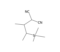 CC(C(C#N)C#N)C(C)[Si](C)(C)C